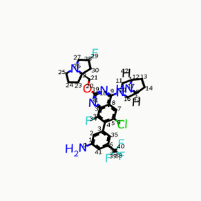 Nc1cc(-c2c(Cl)cc3c(N4C[C@H]5CC[C@@H](C4)N5)nc(OC[C@@]45CCCN4C[C@H](F)C5)nc3c2F)cc(C(F)(F)F)c1